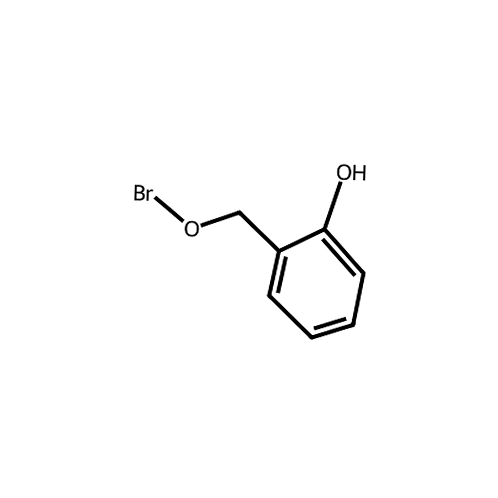 Oc1ccccc1COBr